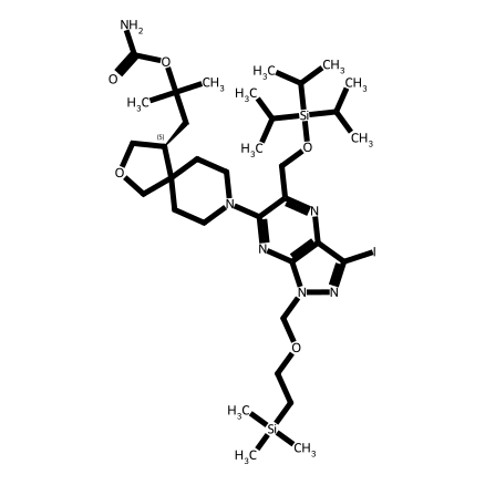 CC(C)[Si](OCc1nc2c(I)nn(COCC[Si](C)(C)C)c2nc1N1CCC2(CC1)COC[C@H]2CC(C)(C)OC(N)=O)(C(C)C)C(C)C